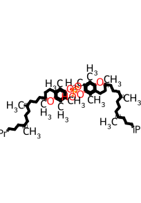 Cc1c(C)c2c(c(C)c1OP(=O)(O)Oc1c(C)c(C)c3c(c1C)CC[C@@](C)(CCC[C@H](C)CCC[C@H](C)CCCC(C)C)O3)CC[C@@](C)(CCC[C@H](C)CCC[C@H](C)CCCC(C)C)O2